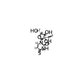 C#CC1(O)[C@@H](O)[C@@H](CO)O[C@H]1n1ccc(=S)[nH]c1=O